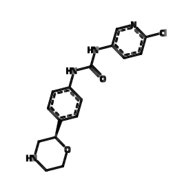 O=C(Nc1ccc([C@@H]2CNCCO2)cc1)Nc1ccc(Cl)nc1